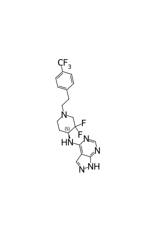 FC(F)(F)c1ccc(CCN2CC[C@H](Nc3ncnc4[nH]ncc34)C(F)(F)C2)cc1